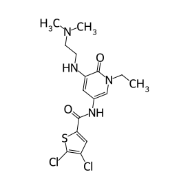 CCn1cc(NC(=O)c2cc(Cl)c(Cl)s2)cc(NCCN(C)C)c1=O